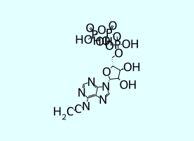 C=C=Nc1ncnc2c1ncn2[C@@H]1O[C@H](COP(=O)(O)OP(=O)(O)OP(=O)(O)O)[C@@H](O)[C@H]1O